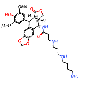 COc1cc(C2c3cc4c(cc3[C@@H](NC(=O)CCNCCCNCCCCN)[C@H]3COC(=O)[C@H]23)OCO4)cc(OC)c1O